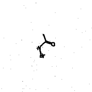 CC(=O)[N]Br